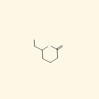 O=C1CCCC(CF)N1